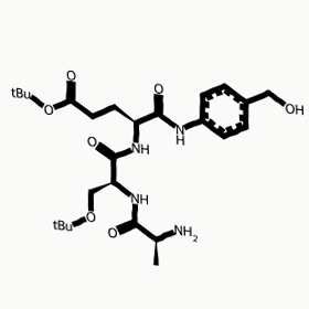 C[C@H](N)C(=O)N[C@@H](COC(C)(C)C)C(=O)N[C@@H](CCC(=O)OC(C)(C)C)C(=O)Nc1ccc(CO)cc1